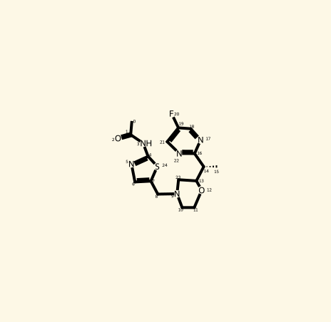 CC(=O)Nc1ncc(CN2CCOC([C@@H](C)c3ncc(F)cn3)C2)s1